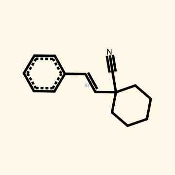 N#CC1(/C=C/c2ccccc2)CCCCC1